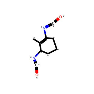 CC1=C(N=C=O)CCCC1N=C=O